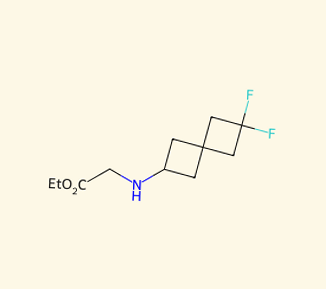 CCOC(=O)CNC1CC2(C1)CC(F)(F)C2